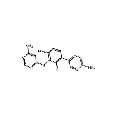 CC(C)(C)c1ccc(-c2cnc(N)nc2)c(F)c1Oc1cc(N)ncn1